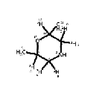 [2H]C1([2H])NC([2H])([2H])C([2H])(C)OC1([2H])C